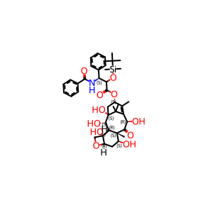 CC1=C2[C@@H](O)C(=O)[C@@]3(C)[C@H]([C@H](O)[C@](O)(C[C@@H]1OC(=O)C(O[Si](C)(C)C(C)(C)C)[C@@H](NC(=O)c1ccccc1)c1ccccc1)C2(C)C)[C@]1(O)CO[C@@H]1C[C@@H]3O